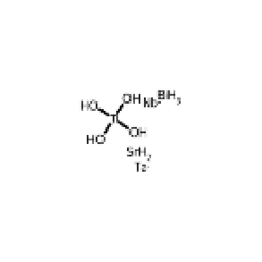 [BiH3].[Nb].[OH][Ti]([OH])([OH])[OH].[SrH2].[Ta]